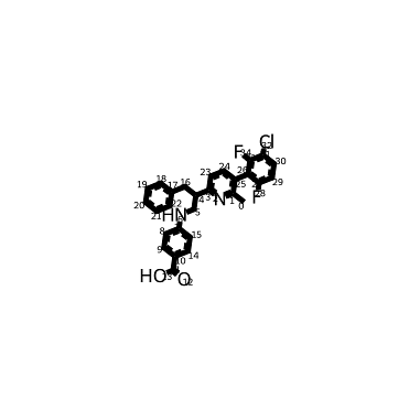 Cc1nc(C(CNc2ccc(C(=O)O)cc2)Cc2ccccc2)ccc1-c1c(F)ccc(Cl)c1F